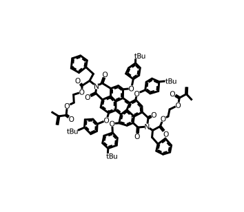 C=C(C)C(=O)OCCOC(=O)C(Cc1ccccc1)N1C(=O)c2cc(Oc3ccc(C(C)(C)C)cc3)c3c4c(Oc5ccc(C(C)(C)C)cc5)cc5c6c(cc(Oc7ccc(C(C)(C)C)cc7)c(c7c(Oc8ccc(C(C)(C)C)cc8)cc(c2c37)C1=O)c64)C(=O)N(C(Cc1ccccc1)C(=O)OCCOC(=O)C(=C)C)C5=O